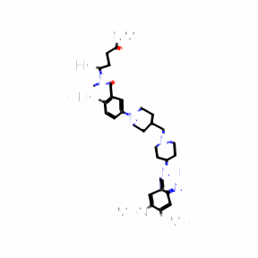 CNC(=O)CCC(C=O)N(C)C(=O)c1cc(N2CCC(CN3CCC(N/C=C4/C=C(NC)C(OC)=CC4=N)CC3)CC2)ccc1C=O